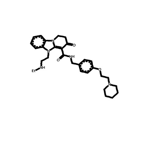 CCNCCN1C2=C(C(=O)NCc3ccc(OCCN4CCCCC4)cc3)C(=O)CCN2c2ccccc21